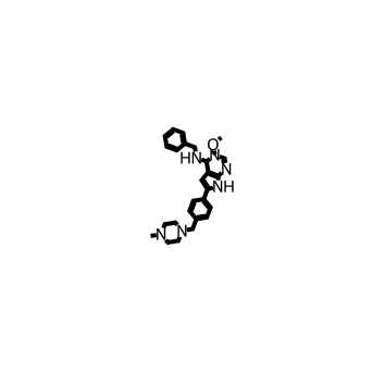 CON1C=Nc2[nH]c(-c3ccc(CN4CCN(C)CC4)cc3)cc2C1NCc1ccccc1